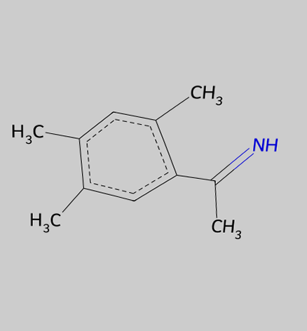 CC(=N)c1cc(C)c(C)cc1C